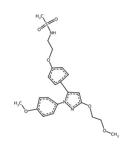 COCCOc1cc(-c2ccc(OCCNS(C)(=O)=O)cc2)n(-c2ccc(OC)cc2)n1